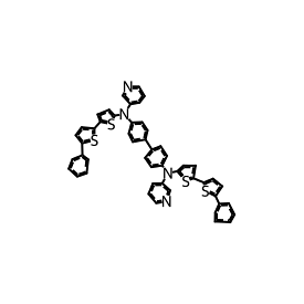 c1ccc(-c2ccc(-c3ccc(N(c4ccc(-c5ccc(N(c6cccnc6)c6ccc(-c7ccc(-c8ccccc8)s7)s6)cc5)cc4)c4cccnc4)s3)s2)cc1